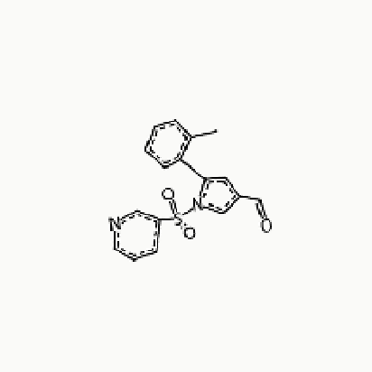 Cc1ccccc1-c1cc(C=O)cn1S(=O)(=O)c1cccnc1